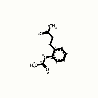 CC(=O)CCc1ccccc1OC(C)=O